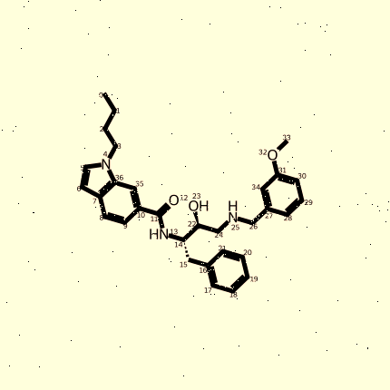 CCCCn1ccc2ccc(C(=O)N[C@@H](Cc3ccccc3)[C@@H](O)CNCc3cccc(OC)c3)cc21